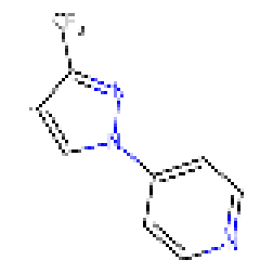 FC(F)(F)c1[c]cn(-c2ccncc2)n1